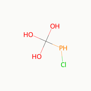 OC(O)(O)PCl